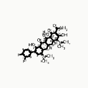 CN(C)c1cc(-c2ccc(F)c(F)c2)c(O)c2c1C[C@H]1C[C@H]3[C@H](N(C)C)C(O)=C(C(N)=O)C(=O)[C@@]3(O)C(O)=C1C2=O